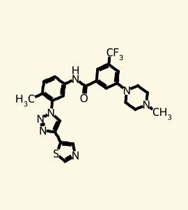 Cc1ccc(NC(=O)c2cc(N3CCN(C)CC3)cc(C(F)(F)F)c2)cc1-n1cc(-c2cncs2)nn1